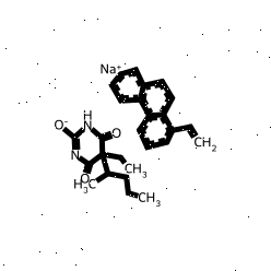 C=Cc1cccc2c1ccc1ccccc12.CCCC(C)C1(CC)C(=O)N=C([O-])NC1=O.[Na+]